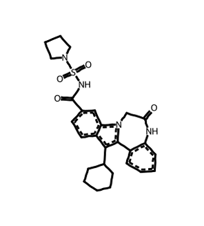 O=C1Cn2c(c(C3CCCCC3)c3ccc(C(=O)NS(=O)(=O)N4CCCC4)cc32)-c2ccccc2N1